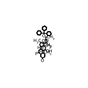 CC(OC(c1ccccc1)(c1ccccc1)c1ccccc1)C(=O)O[C@]1(C(=O)SCF)[C@H](C)C[C@H]2[C@@H]3C[C@H](F)C4=CC(=O)C=C[C@]4(C)[C@@]3(F)[C@@H](O)C[C@@]21C